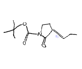 CC/C=C1\CCN(C(=O)OC(C)(C)C)C1=O